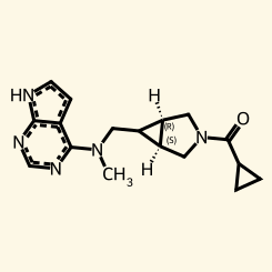 CN(CC1[C@H]2CN(C(=O)C3CC3)C[C@@H]12)c1ncnc2[nH]ccc12